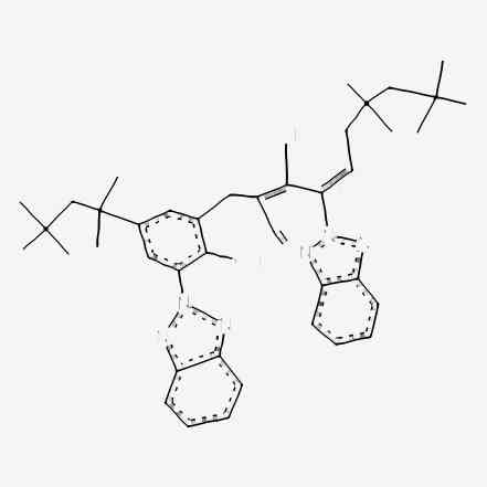 C=C/C(Cc1cc(C(C)(C)CC(C)(C)C)cc(-n2nc3ccccc3n2)c1O)=C(O)\C(=C/CC(C)(C)CC(C)(C)C)n1nc2ccccc2n1